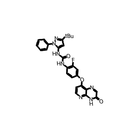 CC(C)(C)c1cc(NC(=O)Nc2ccc(Oc3ccnc4[nH]c(=O)cnc34)cc2F)n(-c2ccccc2)n1